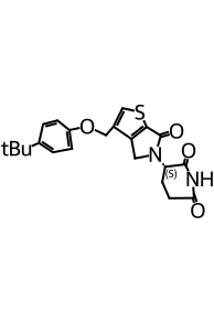 CC(C)(C)c1ccc(OCc2csc3c2CN([C@H]2CCC(=O)NC2=O)C3=O)cc1